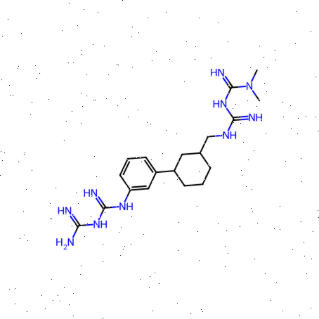 CN(C)C(=N)NC(=N)NCC1CCCC(c2cccc(NC(=N)NC(=N)N)c2)C1